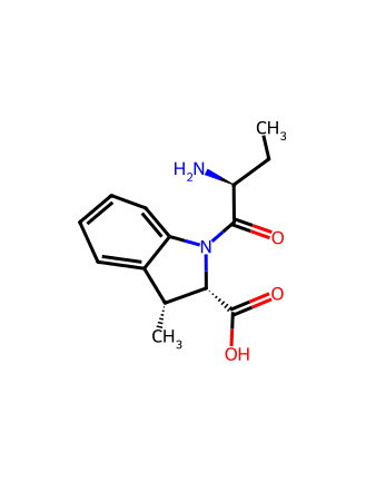 CC[C@H](N)C(=O)N1c2ccccc2[C@@H](C)[C@H]1C(=O)O